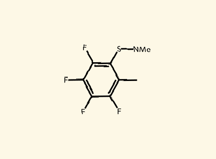 CNSc1c(C)c(F)c(F)c(F)c1F